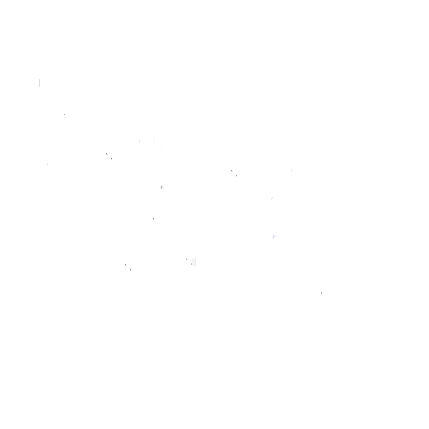 CN1CC(F)(F)COc2ccc3nc(NC(=O)c4ccccc4)n([C@@H]4CCCCN(C(=O)/C=C/CN5CCCCC5)C4)c3c21